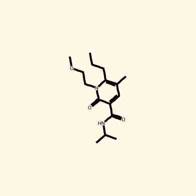 CCCc1c(C)cc(C(=O)NC(C)C)c(=O)n1CCOC